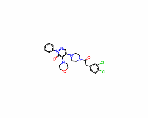 O=C(Cc1ccc(Cl)c(Cl)c1)N1CCN(c2cnn(-c3ccccc3)c(=O)c2N2CCOCC2)CC1